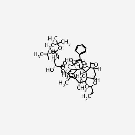 C=CC1O[C@H]2C[C@H]3OC[C@@]3(C)[C@H]3[C@H](OC(=O)c4ccccc4)[C@]4(C(C)(C)O)C[C@H](OC(=O)[C@H](O)[C@H](CC(C)C)NC(=O)OC(C)(C)C)C(C)=C([C@H](C)[C@H](O1)[C@]23C)C4(C)C